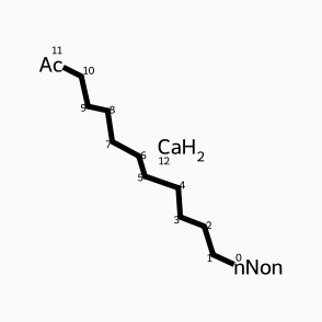 CCCCCCCCCCCCCCCCCCCC(C)=O.[CaH2]